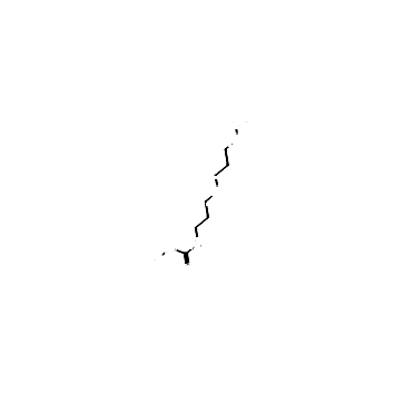 CCCOCCCOCCCNC(=O)OC(C)(C)C